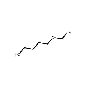 C[CH]CCOCCCCO